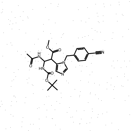 COC(=O)C(c1cncn1Cc1ccc(C#N)cc1)C(NC(C)=O)NC(=O)OC(C)(C)C